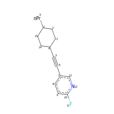 CCCC1CCC(C#Cc2ccc(F)nc2)CC1